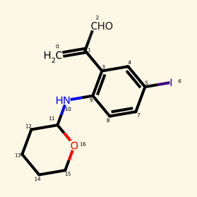 C=C(C=O)c1cc(I)ccc1NC1CCCCO1